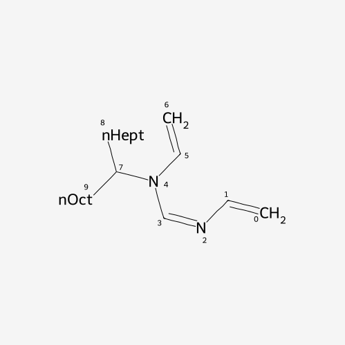 C=C/N=C\N(C=C)C(CCCCCCC)CCCCCCCC